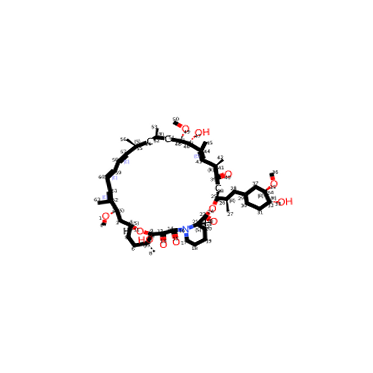 CO[C@H]1C[C@@H]2CC[C@@H](C)[C@@](O)(O2)C(=O)C(=O)N2CCCC[C@H]2C(=O)O[C@H]([C@H](C)CC2CC[C@@H](O)[C@H](OC)C2)CC(=O)[C@H](C)/C=C(\C)[C@@H](O)[C@@H](OC)C[C@H](C)C[C@H](C)/C=C/C=C/C=C/1C